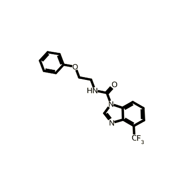 O=C(NCCOc1ccccc1)n1cnc2c(C(F)(F)F)cccc21